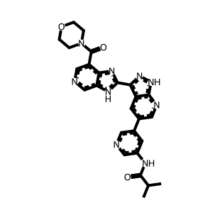 CC(C)C(=O)Nc1cncc(-c2cnc3[nH]nc(-c4nc5c(C(=O)N6CCOCC6)cncc5[nH]4)c3c2)c1